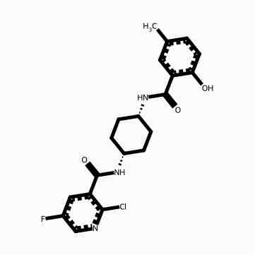 Cc1ccc(O)c(C(=O)N[C@H]2CC[C@@H](NC(=O)c3cc(F)cnc3Cl)CC2)c1